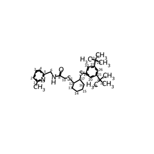 Cc1cccc(CNC(=O)CSC2CCCCC2Sc2cc(C(C)(C)C)cc(C(C)(C)C)c2)n1